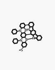 CSc1ccc2c(c1)N(c1ccccc1)c1cc3c4c5c1B2n1c2ccccc2c2cc6c7cccc8c7n(c6c-5c21)B4c1c-8cccc1N3c1ccccc1